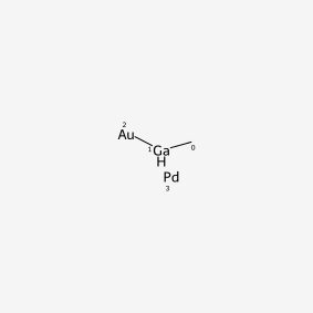 [CH3][GaH][Au].[Pd]